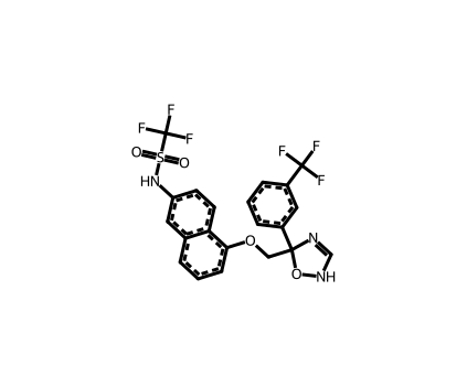 O=S(=O)(Nc1ccc2c(OCC3(c4cccc(C(F)(F)F)c4)N=CNO3)cccc2c1)C(F)(F)F